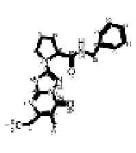 CCc1nc2sc(N3CCCC3C(=O)NCc3ccccc3)nn2c(=O)c1F